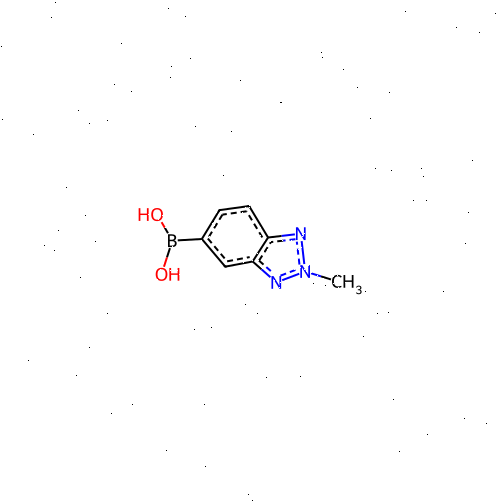 Cn1nc2ccc(B(O)O)cc2n1